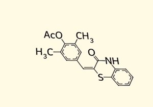 CC(=O)Oc1c(C)cc(C=C2Sc3ccccc3NC2=O)cc1C